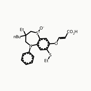 CCCCC1(CC)CN(c2ccccc2)c2cc(SCC)c(O/C=C/C(=O)O)cc2[S+]([O-])C1